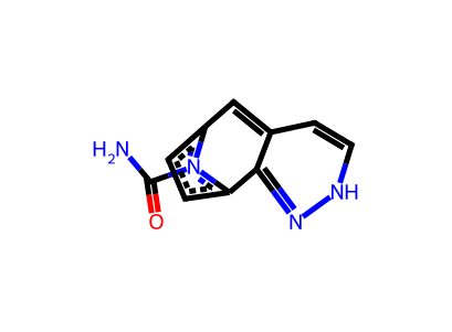 NC(=O)n1c2ccc1C1=NNC=CC1=C2